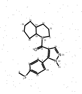 CSc1ccc(-c2c(C(=O)N3CCCC4CCCCC43)cnn2C)cc1